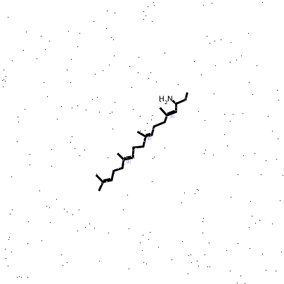 CCC(N)/C=C(\C)CC/C=C(\C)CC/C=C(\C)CCC=C(C)C